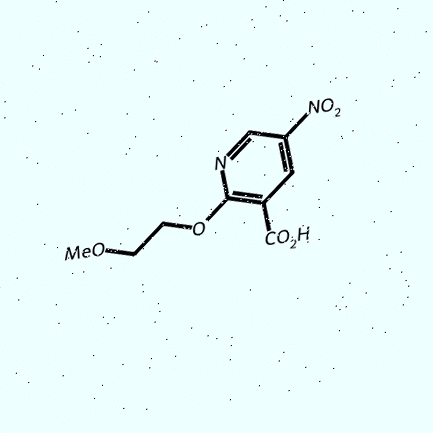 COCCOc1ncc([N+](=O)[O-])cc1C(=O)O